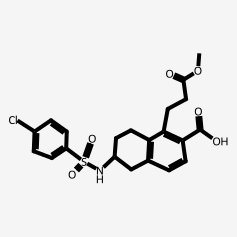 COC(=O)CCc1c(C(=O)O)ccc2c1CCC(NS(=O)(=O)c1ccc(Cl)cc1)C2